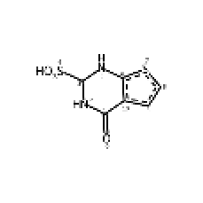 O=C1NC(S(=O)(=O)O)Nc2sccc21